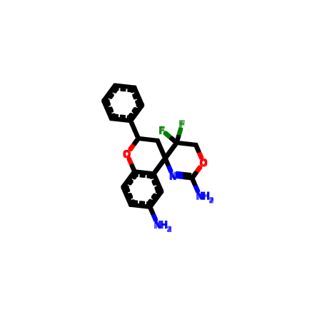 NC1=NC2(CC(c3ccccc3)Oc3ccc(N)cc32)C(F)(F)CO1